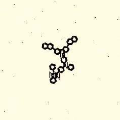 c1ccc(-c2nc3ccccc3nc2-c2ccc(N(c3ccccc3)c3ccc(-n4c5ccc(-c6ccc7ccccc7c6)cc5c5cc(-c6ccc7ccccc7c6)ccc54)cc3)cc2)cc1